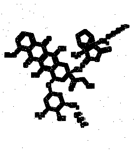 COc1cccc2c1C(=O)c1c(O)c3c(c(O)c1C2=O)C[C@@](O)(C(=O)CO)C[C@@H]3O[C@H]1C[C@H](N)[C@H](O)[C@H](C)O1.C[C@@]12C(=O)OC(=O)[C@]1(C)C1CCC2O1.[O-2].[O-2].[O-2].[O-2].[O-2].[V+5].[V+5]